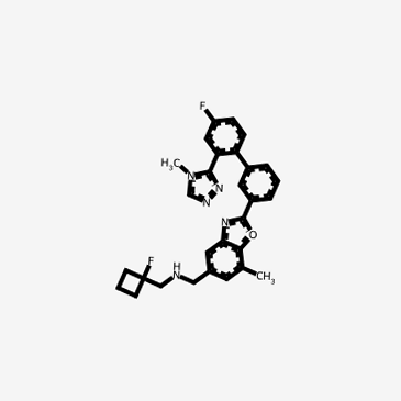 Cc1cc(CNCC2(F)CCC2)cc2nc(-c3cccc(-c4ccc(F)cc4-c4nncn4C)c3)oc12